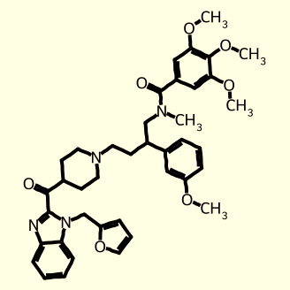 COc1cccc(C(CCN2CCC(C(=O)c3nc4ccccc4n3Cc3ccco3)CC2)CN(C)C(=O)c2cc(OC)c(OC)c(OC)c2)c1